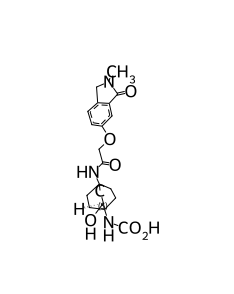 CN1Cc2ccc(OCC(=O)NC34CCC(NC(=O)O)(CC3)[C@@H](O)C4)cc2C1=O